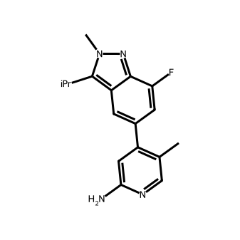 Cc1cnc(N)cc1-c1cc(F)c2nn(C)c(C(C)C)c2c1